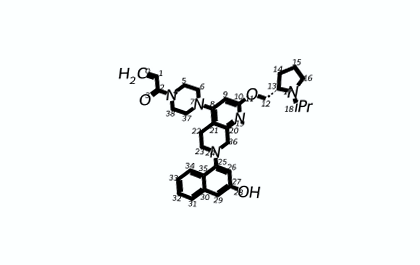 C=CC(=O)N1CCN(c2cc(OC[C@@H]3CCCN3C(C)C)nc3c2CCN(c2cc(O)cc4ccccc24)C3)CC1